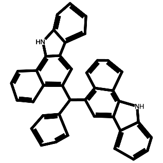 c1ccc(C(c2cc3c4ccccc4[nH]c3c3ccccc23)c2cc3c4ccccc4[nH]c3c3ccccc23)cc1